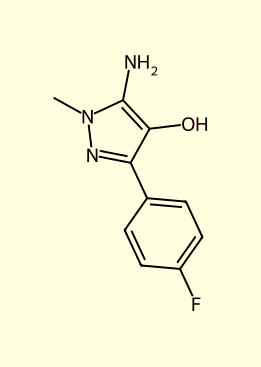 Cn1nc(-c2ccc(F)cc2)c(O)c1N